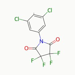 O=C1N(c2cc(Cl)[c]c(Cl)c2)C(=O)C(F)(F)C1(F)F